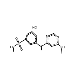 CNc1cc(Nc2cccc(S(=O)(=O)NC)c2)ncn1.Cl